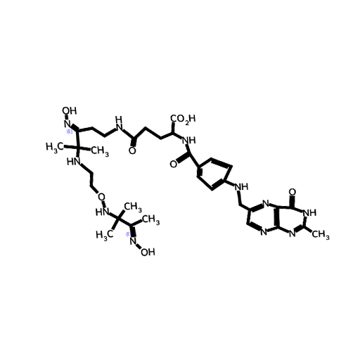 C/C(=N\O)C(C)(C)NOCCNC(C)(C)/C(CCNC(=O)CCC(NC(=O)c1ccc(NCc2cnc3nc(C)[nH]c(=O)c3n2)cc1)C(=O)O)=N/O